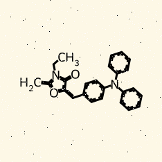 C=c1o/c(=C/c2ccc(N(c3ccccc3)c3ccccc3)cc2)c(=O)n1CC